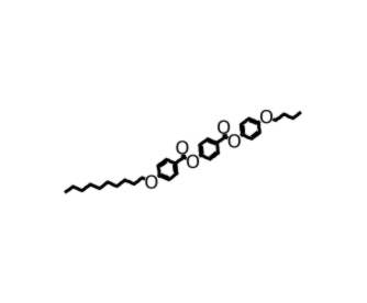 CCCCCCCCCCOc1ccc(C(=O)Oc2ccc(C(=O)Oc3ccc(OCCCC)cc3)cc2)cc1